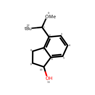 COC(c1cccc2c1CCC2O)C(C)(C)C